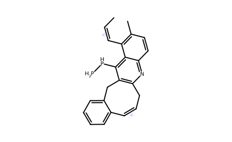 C/C=C\c1c(C)ccc2nc3c(c(PP)c12)Cc1ccccc1/C=C\C3